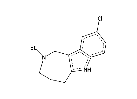 CCN1CCCc2[nH]c3ccc(Cl)cc3c2C1